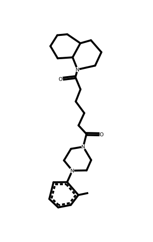 Cc1ccccc1N1CCN(C(=O)CCCCC(=O)N2CCCC3CCCCC32)CC1